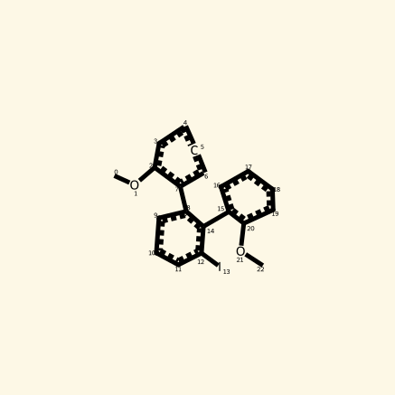 COc1ccccc1-c1cccc(I)c1-c1ccccc1OC